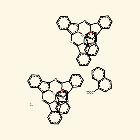 O=C([O-])c1cccc2ccccc12.[Cu+].c1ccc2c(c1)C1=Nc3c4ccccc4c4[n]3[Cu]35[n]6c(c7ccccc7c6=NC6=[N+]3C(=N4)c3ccccc36)=NC2=[N+]15.c1ccc2c(c1)C1=Nc3c4ccccc4c4[n]3[Cu]35[n]6c(c7ccccc7c6=NC6=[N+]3C(=N4)c3ccccc36)=NC2=[N+]15